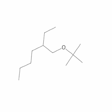 CCCCC(CC)COC(C)(C)C